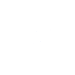 Cc1ccn(-c2cnc(I)cn2)n1